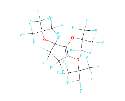 FC(F)(F)C(OC1=C(OC(C(F)(F)F)(C(F)(F)F)C(F)(F)F)C(F)(OC(C(F)(F)F)(C(F)(F)F)C(F)(F)F)C(F)(F)C1(F)F)(C(F)(F)F)C(F)(F)F